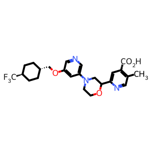 Cc1cnc(C2CN(c3cncc(OC[C@H]4CC[C@H](C(F)(F)F)CC4)c3)CCO2)cc1C(=O)O